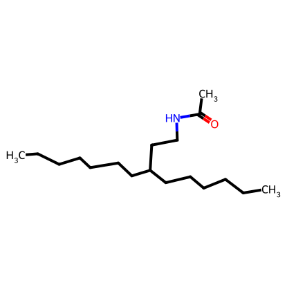 CCCCCCCC(CCCCCC)CCNC(C)=O